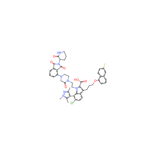 Cc1nn(C)c(C)c1-c1c(Cl)ccc2c(CCCOc3cccc4cc(F)ccc34)c(C(=O)O)n(CCN3CCN(c4cccc5c4C(=O)N(C4CCCNC4=O)C5=O)CC3=O)c12